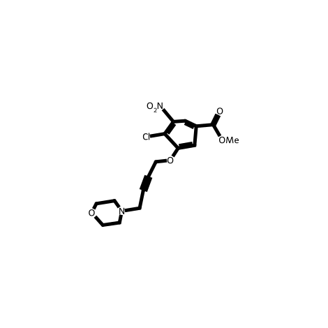 COC(=O)c1cc(OCC#CCN2CCOCC2)c(Cl)c([N+](=O)[O-])c1